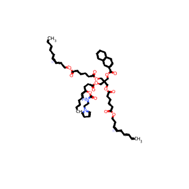 CCCCC/C=C\CCOC(=O)CCCCC(=O)OCC(COC(=O)CCCCC(=O)OCC/C=C\CCCCC)(COC(=O)CCC(CCCCCC)OC(=O)NCCN1CCCC1)COC(=O)C1CCC2CCCCC2C1